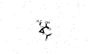 CC[C@@]1(C(=O)O)C[C@H]1C(F)F